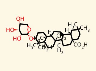 CC1(C)CC[C@]2(C(=O)O)CC[C@]3(C)C(=CC[C@@H]4[C@@]5(C)CC[C@H](O[C@@H]6OC[C@@H](O)[C@H](O)[C@H]6O)[C@@](C)(C(=O)O)[C@@H]5CC[C@]43C)[C@@H]2C1